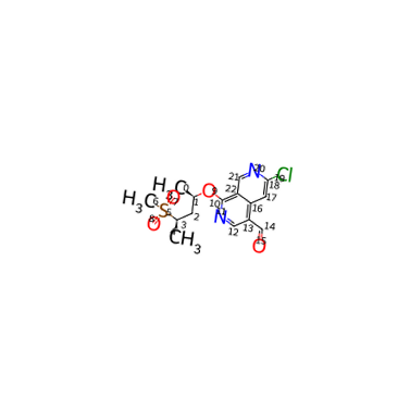 C[C@H](C[C@@H](C)S(C)(=O)=O)Oc1ncc(C=O)c2cc(Cl)ncc12